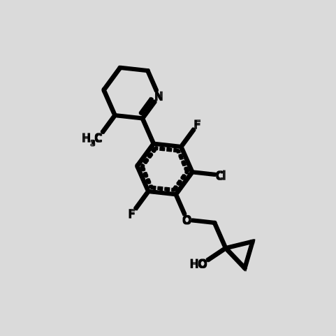 CC1CCCN=C1c1cc(F)c(OCC2(O)CC2)c(Cl)c1F